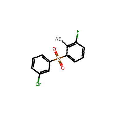 N#Cc1c(F)cccc1S(=O)(=O)c1cccc(Br)c1